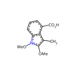 COc1c(C)c2c(C(=O)O)cccc2n1OC